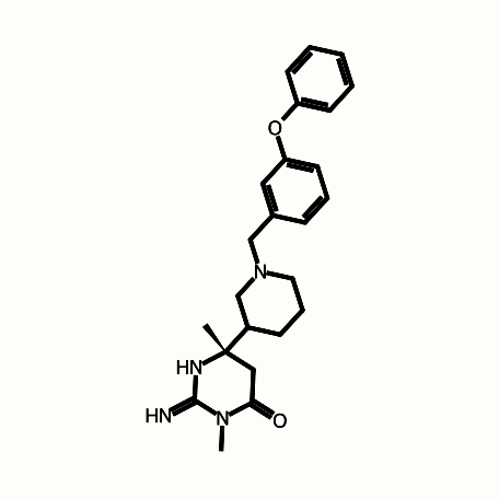 CN1C(=N)N[C@](C)(C2CCCN(Cc3cccc(Oc4ccccc4)c3)C2)CC1=O